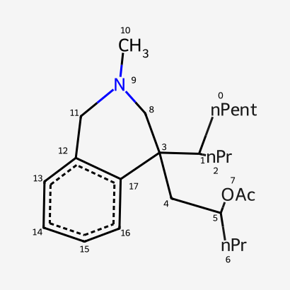 CCCCCC(CCC)C1(CC(CCC)OC(C)=O)CN(C)Cc2ccccc21